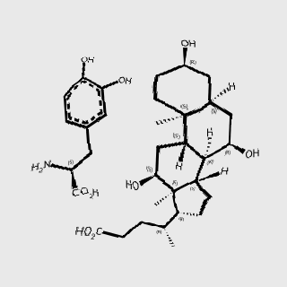 C[C@H](CCC(=O)O)[C@H]1CC[C@H]2[C@@H]3[C@H](O)C[C@@H]4C[C@H](O)CC[C@]4(C)[C@H]3C[C@H](O)[C@]12C.N[C@@H](Cc1ccc(O)c(O)c1)C(=O)O